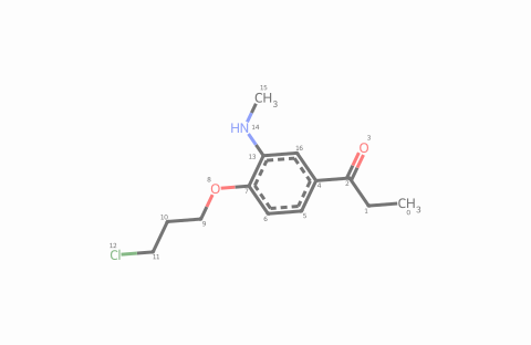 CCC(=O)c1ccc(OCCCCl)c(NC)c1